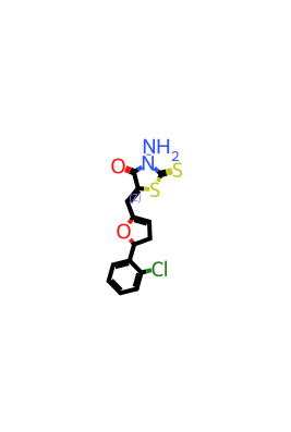 NN1C(=O)/C(=C/C2=CCC(c3ccccc3Cl)O2)SC1=S